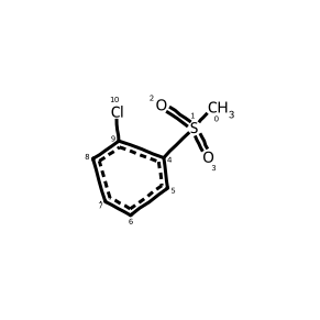 CS(=O)(=O)c1cc[c]cc1Cl